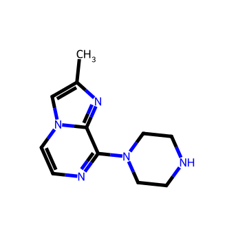 Cc1cn2ccnc(N3CCNCC3)c2n1